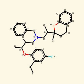 CCc1cc(F)ccc1OC(C)C(C)CN(Cc1ccccc1)CC(C)C1(C)CCc2ccccc2O1